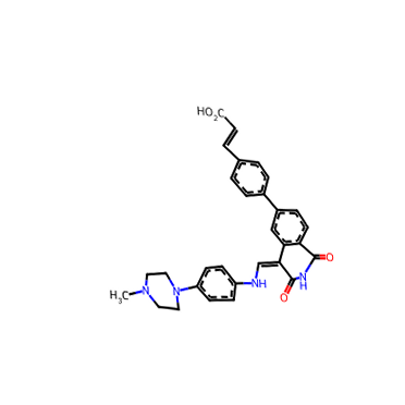 CN1CCN(c2ccc(NC=C3C(=O)NC(=O)c4ccc(-c5ccc(C=CC(=O)O)cc5)cc43)cc2)CC1